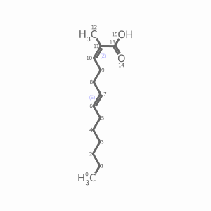 CCCCCC/C=C/CC/C=C(/C)C(=O)O